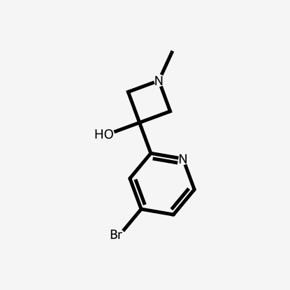 CN1CC(O)(c2cc(Br)ccn2)C1